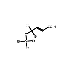 CCC(/C=C/C(=O)O)(CC)O[Si](CC)(CC)CC